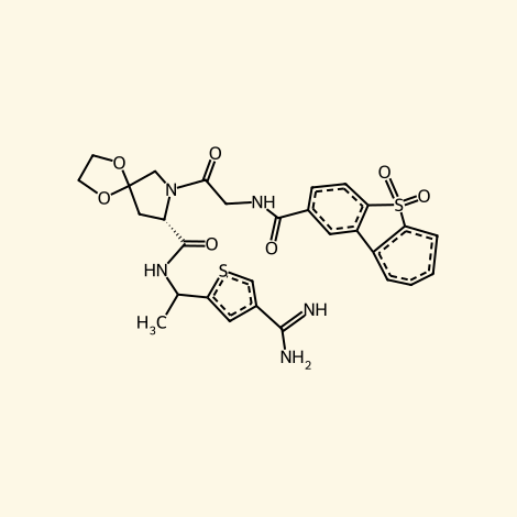 CC(NC(=O)[C@@H]1CC2(CN1C(=O)CNC(=O)c1ccc3c(c1)-c1ccccc1S3(=O)=O)OCCO2)c1cc(C(=N)N)cs1